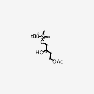 CC(=O)OCCC(O)CO[Si](C)(C)C(C)(C)C